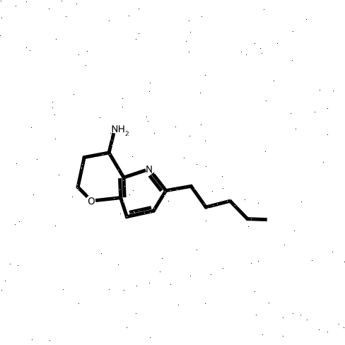 CCCCCc1ccc2c(n1)C(N)CCO2